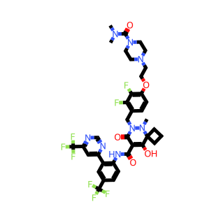 CN(C)C(=O)N1CCN(CCOc2ccc(CN3C(=O)C(C(=O)Nc4ccc(C(F)(F)F)cc4-c4cc(C(F)(F)F)ncn4)=C(O)C4(CCC4)N3C)c(F)c2F)CC1